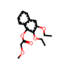 CCOc1cc2ccccc2c(OC(=O)COC)c1OCC